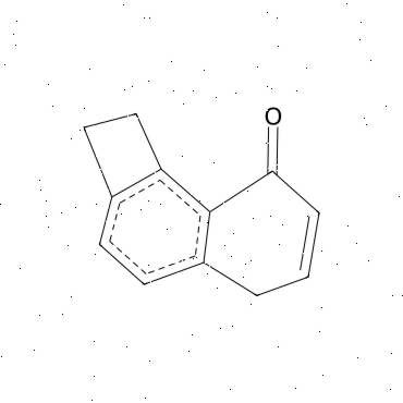 O=C1C=CCc2ccc3c(c21)CC3